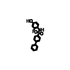 O=S(=O)(Nc1ccc(O)cc1F)c1ccc(-c2ccccc2)cc1